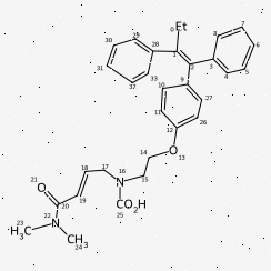 CC/C(=C(\c1ccccc1)c1ccc(OCCN(C/C=C/C(=O)N(C)C)C(=O)O)cc1)c1ccccc1